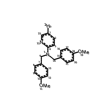 [2H]c1ccc(N(Cc2ccc(OC)cc2)Cc2ccc(OC)cc2)nc1